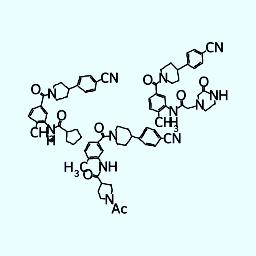 CC(=O)N1CCC(C(=O)Nc2cc(C(=O)N3CCC(c4ccc(C#N)cc4)CC3)ccc2C)CC1.Cc1ccc(C(=O)N2CCC(c3ccc(C#N)cc3)CC2)cc1NC(=O)C1CCCC1.Cc1ccc(C(=O)N2CCC(c3ccc(C#N)cc3)CC2)cc1NC(=O)CN1CCNC(=O)C1